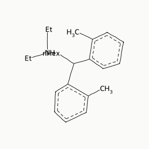 CCCCCCC(c1ccccc1C)c1ccccc1C.CCNCC